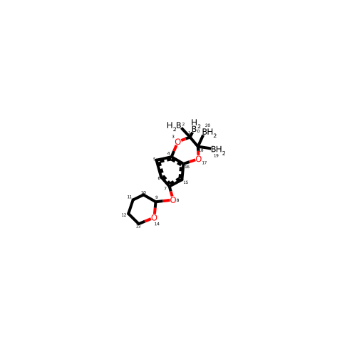 BC1(B)Oc2ccc(OC3CCCCO3)cc2OC1(B)B